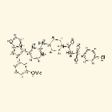 COc1cccc(-c2nc3occn3c2-c2ccnc(NC3CCN(C(=O)NS(=O)(=O)c4ccc(Cl)cc4)CC3)n2)c1